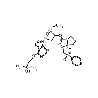 CC[C@H]1O[C@@H](n2cnc3c(OCC[Si](C)(C)C)ncnc32)CC1O[P@@]1O[C@H](CS(=O)(=O)c2ccccc2)[C@@H]2CCCN21